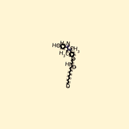 CCC(/C(=C/N)c1ccc(O)cc1)=C(/C)c1ccc(OCCNC(=O)CCCCCCCCC=O)cc1